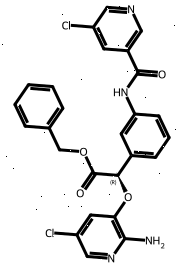 Nc1ncc(Cl)cc1O[C@@H](C(=O)OCc1ccccc1)c1cccc(NC(=O)c2cncc(Cl)c2)c1